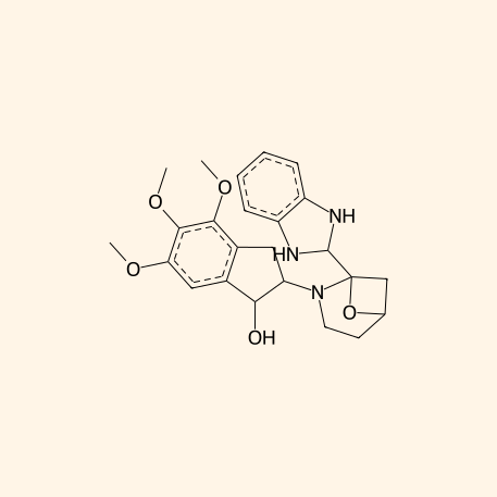 COc1cc2c(c(OC)c1OC)CC(N1CCC3CC1(C1Nc4ccccc4N1)O3)C2O